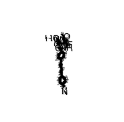 CC(=O)NC(C)(C(F)F)C(NC(=O)c1ccc(C#CC#Cc2ccc(C#N)cc2)cc1)C(=O)NO